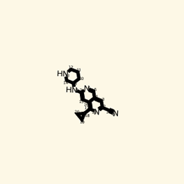 N#Cc1cc2cnc(NC3CCCNC3)cc2c(C2CC2)n1